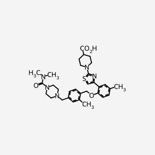 Cc1ccc(OCc2ccc(CN3CCN(C(=O)N(C)C)CC3)cc2C)c(-c2csc(N3CCC(C(=O)O)CC3)n2)c1